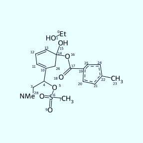 CCO.CNCC(OS(C)(=O)=O)C1=CC=CC(O)(OC(=O)c2ccc(C)cc2)C1